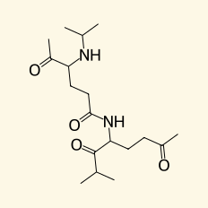 CC(=O)CCC(NC(=O)CCC(NC(C)C)C(C)=O)C(=O)C(C)C